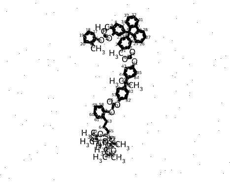 Cc1ccc(C2(c3ccc(C)c(OC(=O)Oc4ccccc4C)c3)c3ccccc3-c3ccccc32)cc1OC(=O)Oc1ccc(C(C)(C)c2ccc(OC(=O)Oc3ccccc3CCC[Si](C)(O[Si](C)(C)C)O[Si](C)(C)O[Si](C)(C)C)cc2)cc1